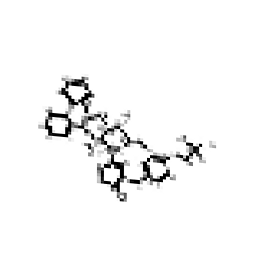 CC[C@H]1O[C@@](OC)(c2ccc(Cl)c(Cc3ccc(OCC(F)(F)F)cc3)c2)[C@H](OCc2ccccc2)[C@@H](OCc2ccccc2)[C@@H]1C